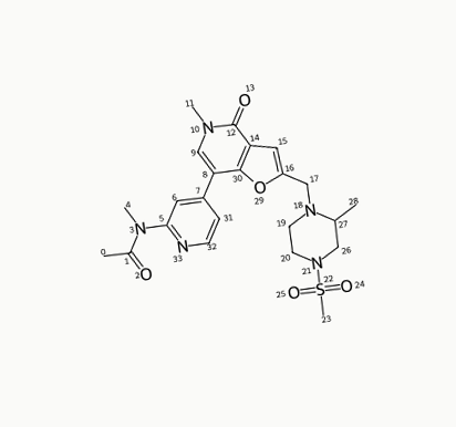 CC(=O)N(C)c1cc(-c2cn(C)c(=O)c3cc(CN4CCN(S(C)(=O)=O)CC4C)oc23)ccn1